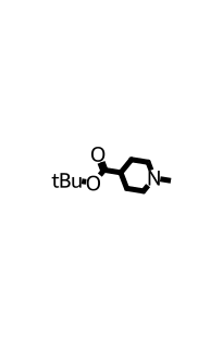 CN1CCC(C(=O)OC(C)(C)C)CC1